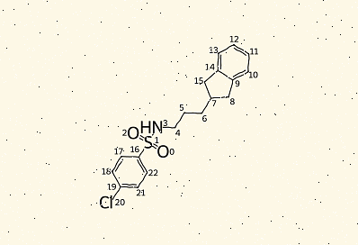 O=S(=O)(NCCCC1Cc2ccccc2C1)c1ccc(Cl)cc1